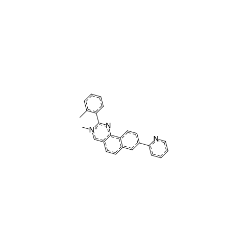 Cc1ccccc1-c1nc2c(ccc3cc(-c4ccccn4)ccc32)c[n+]1C